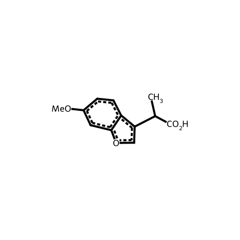 COc1ccc2c(C(C)C(=O)O)coc2c1